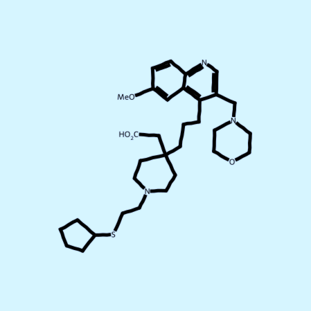 COc1ccc2ncc(CN3CCOCC3)c(CCCC3(CC(=O)O)CCN(CCSC4CCCC4)CC3)c2c1